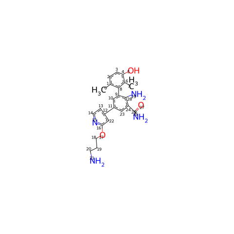 Cc1ccc(O)c(C)c1-c1cc(-c2ccnc(OCCCN)c2)cc(C(N)=O)c1N